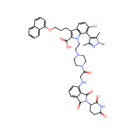 Cc1nn(C)c(C)c1-c1c(Cl)ccc2c(CCCOc3cccc4ccccc34)c(C(=O)O)n(CCN3CCN(C(=O)CNc4cccc5c4C(=O)N(C4CCC(=O)NC4=O)C5=O)CC3)c12